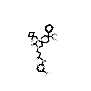 CN(C)[C@]1(c2ccccc2)CC[C@]2(CC1)CN(CCC(=O)Nc1nccc(O)n1)C(=O)N2CC1(O)CCC1